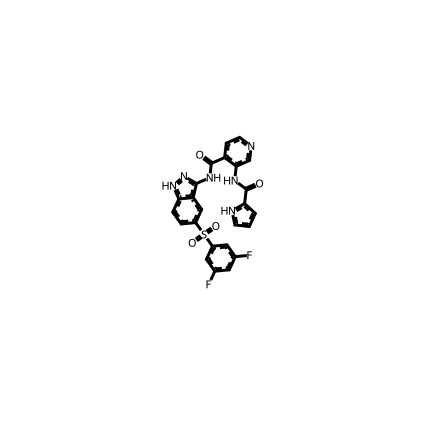 O=C(Nc1cnccc1C(=O)Nc1n[nH]c2ccc(S(=O)(=O)c3cc(F)cc(F)c3)cc12)c1ccc[nH]1